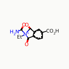 CC[N+]1(C(N)=O)C(=O)c2ccc(C(=O)O)cc2C1=O